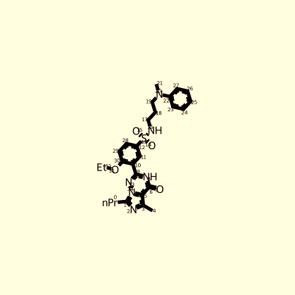 CCCc1nc(C)c2c(=O)[nH]c(-c3cc(S(=O)(=O)NCCCN(C)c4ccccc4)ccc3OCC)nn12